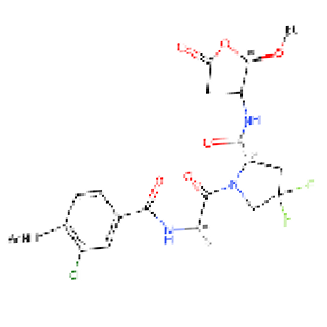 CCO[C@@H]1OC(=O)CC1NC(=O)[C@@H]1CC(F)(F)CN1C(=O)[C@H](C)NC(=O)c1ccc(NC(C)=O)c(Cl)c1